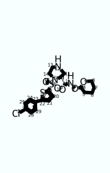 O=C(NOC1CCCCO1)[C@H]1CNCCN1S(=O)(=O)c1ccc(-c2ccc(Cl)cc2)s1